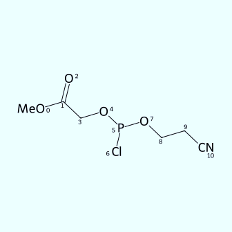 COC(=O)COP(Cl)OCCC#N